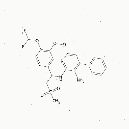 CCOc1cc(C(CS(C)(=O)=O)Nc2nccc(-c3ccccc3)c2N)ccc1OC(F)F